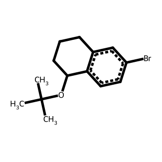 CC(C)(C)OC1CCCc2cc(Br)ccc21